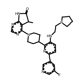 CC1C(=O)Nc2ncnc(N3CCC(c4nc(-c5cncc(F)c5)ccc4NCCN4CCCC4)CC3)c21